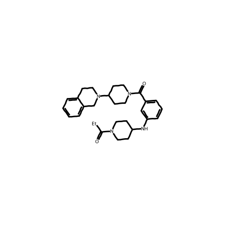 CCC(=O)N1CCC(Nc2cccc(C(=O)N3CCC(N4CCc5ccccc5C4)CC3)c2)CC1